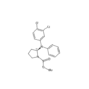 CC(C)(C)OC(=O)N1CCC[C@H]1N(c1ccccc1)c1ccc(Cl)c(Cl)c1